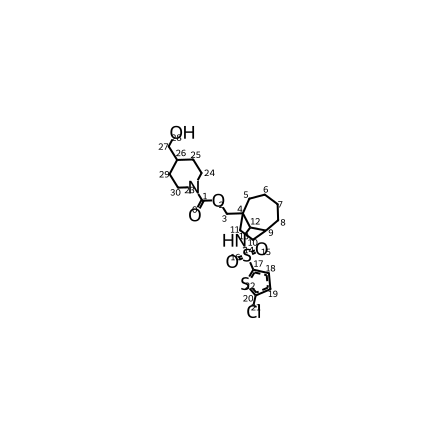 O=C(OCC12CCCCC(CC1)C2NS(=O)(=O)c1ccc(Cl)s1)N1CCC(CO)CC1